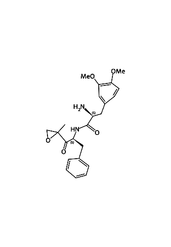 COc1ccc(C[C@H](N)C(=O)N[C@@H](Cc2ccccc2)C(=O)C2(C)CO2)cc1OC